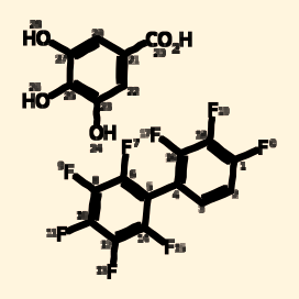 Fc1ccc(-c2c(F)c(F)c(F)c(F)c2F)c(F)c1F.O=C(O)c1cc(O)c(O)c(O)c1